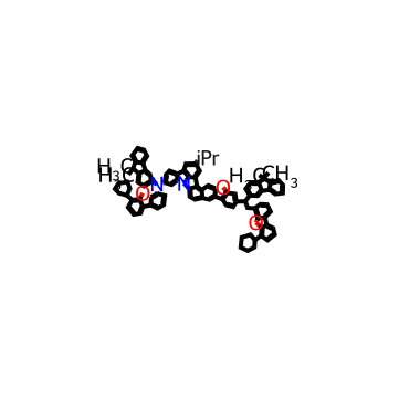 CC(C)c1cc2c3ccc(N(c4ccc5c(c4)-c4ccccc4C5(C)C)c4cccc5c4oc4c(C6CCCCC6)cccc45)cc3n3c4ccc5cc6c(cc5c4c(c1)c23)oc1cc(C(Cc2cccc3c2oc2c(C4CCCCC4)cccc23)c2ccc3c(c2)-c2ccccc2C3(C)C)ccc16